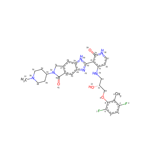 Cc1c(F)ccc(F)c1OC[C@H](O)CNc1cc[nH]c(=O)c1-c1nc2cc3c(cc2[nH]1)CN(C1CCN(C)CC1)C3=O